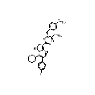 CC(C)(C)OC(=O)[C@H](Cc1ccc(OC(C)(C)C)cc1)NC(=O)C1=C2N=CC(c3ccc(F)cc3)=C(C3CCCCC3)N2NC1